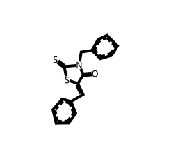 O=C1/C(=C/c2ccccc2)SC(=S)N1Cc1ccccc1